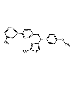 COc1ccc([C@H](Cc2ccc(-c3cccc(C)c3)cc2)c2csc(N)n2)cc1